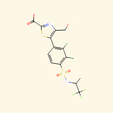 CC(NS(=O)(=O)c1ccc(-c2sc(C(=O)O)nc2CO)c(Cl)c1Cl)C(F)(F)F